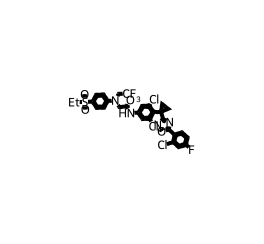 CCS(=O)(=O)c1ccc(N(CC(=O)Nc2cc(Cl)c(C3(c4noc(-c5ccc(F)cc5Cl)n4)CC3)c(Cl)c2)CC(F)(F)F)cc1